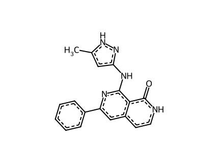 Cc1cc(Nc2nc(-c3ccccc3)cc3cc[nH]c(=O)c23)n[nH]1